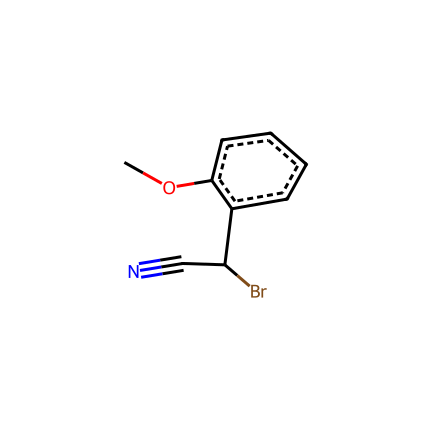 COc1ccccc1C(Br)C#N